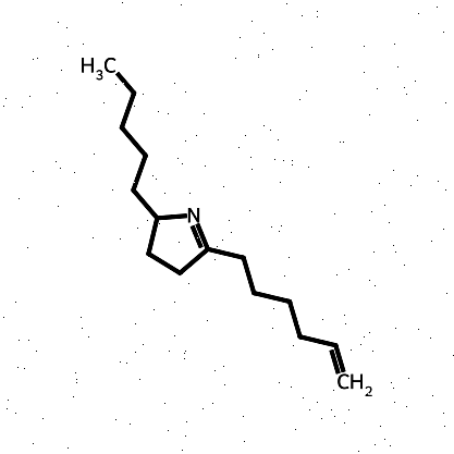 C=CCCCCC1=NC(CCCCC)CC1